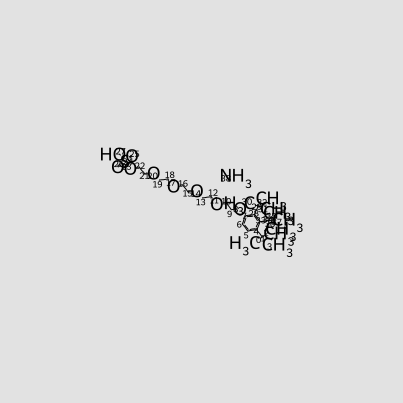 CC(C)(C)c1ccc(OCCOCCOCCOCCOCCOS(=O)(=O)O)c(C(C)(C)C)c1C(C)(C)C.N